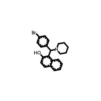 Oc1ccc2ccccc2c1C(c1ccc(Br)cc1)N1CCCCC1